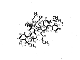 CCCCC1=Cc2c(-c3ccccc3C(C)(C)C)cccc2[CH]1[Hf]([Cl])([Cl])([B](NC=O)NC=O)[CH]1C(CCCC)=Cc2c(-c3ccccc3C(C)(C)C)cccc21